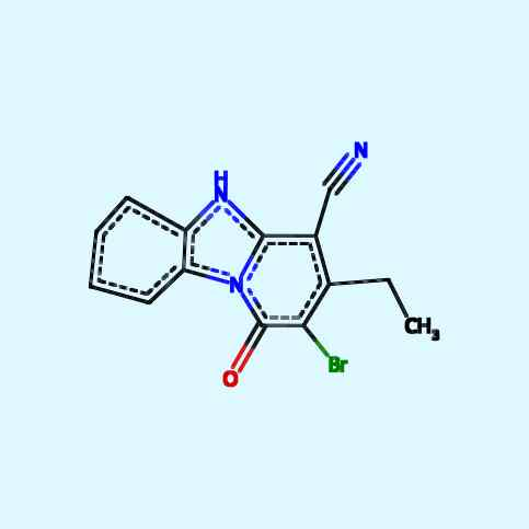 CCc1c(Br)c(=O)n2c([nH]c3ccccc32)c1C#N